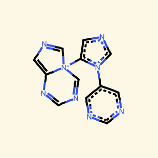 C1=NC=NC2=CN=C[N+]12c1cncn1-c1cncnc1